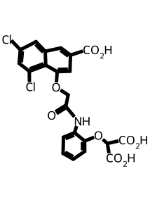 O=C(COc1cc(C(=O)O)cc2cc(Cl)cc(Cl)c12)Nc1ccccc1OC(C(=O)O)C(=O)O